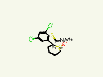 CNC(=S)[C@@]1(c2cc(Cl)cc(Cl)c2)CCCC[S@+]1[O-]